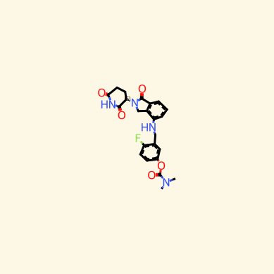 CN(C)C(=O)Oc1ccc(F)c(CNc2cccc3c2CN([C@H]2CCC(=O)NC2=O)C3=O)c1